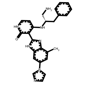 Cc1cc(-n2ccnc2)cc2[nH]c(-c3c(N[C@H](CN)Cc4ccccc4)cc[nH]c3=O)nc12